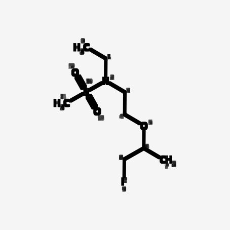 CCN(CCOC(C)CF)S(C)(=O)=O